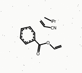 C=CC#N.C=COC(=O)c1ccccc1.CC(C)C